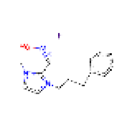 C[n+]1ccn(CCCc2ccccc2)c1/C=N\O.[I-]